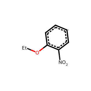 CCOc1cc[c]cc1[N+](=O)[O-]